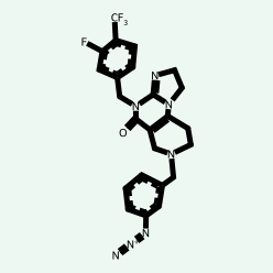 [N-]=[N+]=Nc1cccc(CN2CCC3=C(C2)C(=O)N(Cc2ccc(C(F)(F)F)c(F)c2)C2=NCCN23)c1